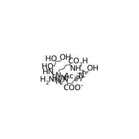 CC(C)C[C@H](N)C(=O)[O-].CC(N)=O.C[N+](C)(C)CCO.N=C(N)NCCC[C@H](N)C(=O)O.OCC(O)CO